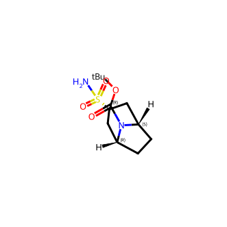 CC(C)(C)OC(=O)N1[C@@H]2CC[C@H]1C[C@@H](S(N)(=O)=O)C2